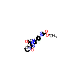 CCOC(=O)c1cnn(-c2ccc(-c3cc4nc(C(=O)N5CCCCC[C@H]5C)cc(C5(C)COC5)n4n3)c(F)c2)c1